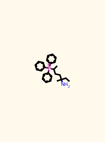 CCC(C)(N)CCC(C)[PH](c1ccccc1)(c1ccccc1)c1ccccc1